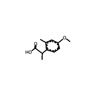 COc1ccc(C(C)C(=O)O)c(C)c1